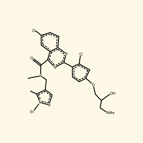 CCn1ncc(CN(C)C(=O)c2nc(-c3ccc(OCC(O)CNC)cc3Cl)nc3ccc(Cl)cc23)c1C